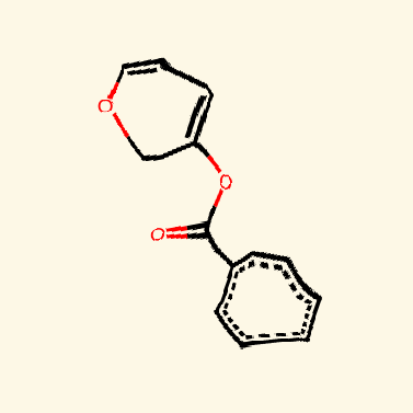 O=C(OC1=CC=COC1)c1ccccc1